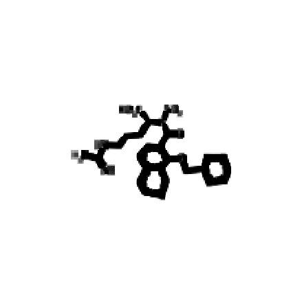 N=C(N)NCCC[C@@H](C(=O)O)N(C(=O)c1ccc2ccccc2c1OCc1ccccc1)[N+](=O)[O-]